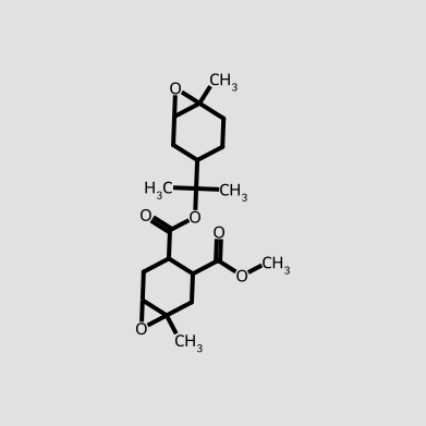 COC(=O)C1CC2(C)OC2CC1C(=O)OC(C)(C)C1CCC2(C)OC2C1